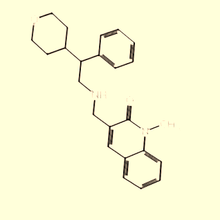 Cn1c(=O)c(CNCC(c2ccccc2)C2CCOCC2)cc2ccccc21